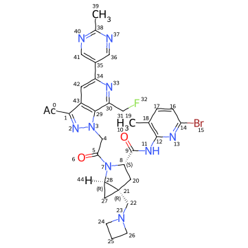 CC(=O)c1nn(CC(=O)N2[C@H](C(=O)Nc3nc(Br)ccc3C)C[C@@]3(CN4CCC4)C[C@@H]23)c2c(CF)nc(-c3cnc(C)nc3)cc12